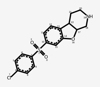 O=S(=O)(c1ccc(Cl)cc1)c1ccc2c(c1)OC1CNCCC21